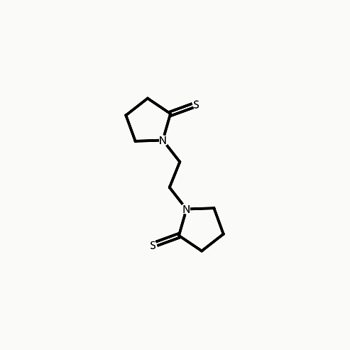 S=C1CCCN1CCN1CCCC1=S